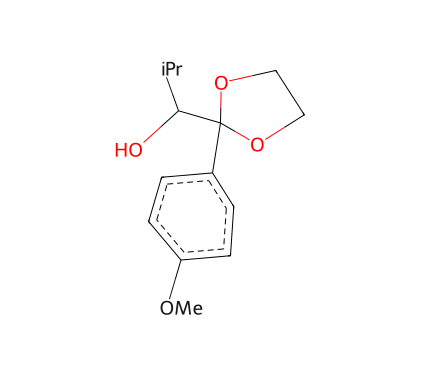 COc1ccc(C2(C(O)C(C)C)OCCO2)cc1